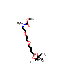 CN(CCOCCOC/C=C/B1OC(C)(C)C(C)(C)O1)C(=O)OC(C)(C)C